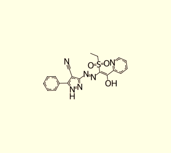 CCS(=O)(=O)C(/N=N/c1n[nH]c(-c2ccccc2)c1C#N)=C(/O)c1ccccn1